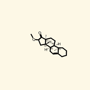 COC1C[C@H]2[C@@H]3CC=C4CCCC[C@]4(C)[C@@H]3CC[C@]2(C)C1=O